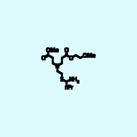 CCCC(N)SCCN(CCC(=O)OC)CCC(=O)OCCOC